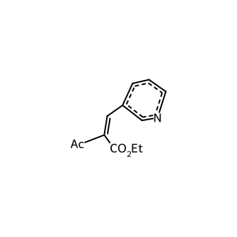 CCOC(=O)/C(=C\c1cccnc1)C(C)=O